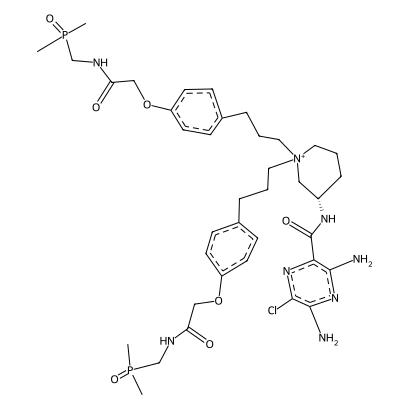 CP(C)(=O)CNC(=O)COc1ccc(CCC[N+]2(CCCc3ccc(OCC(=O)NCP(C)(C)=O)cc3)CCC[C@H](NC(=O)c3nc(Cl)c(N)nc3N)C2)cc1